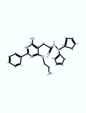 CC(C)CCOc1nc(-c2ccccc2)nc(Cl)c1CC(=O)[O][Ti]([C]1=CC=CC1)[C]1=CC=CC1